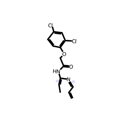 C=C/C=N\C(=C/C)NC(=O)COc1ccc(Cl)cc1Cl